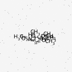 CCOc1cc(B2OC(C)(C)C(C)(C)O2)ccc1CNCCOC